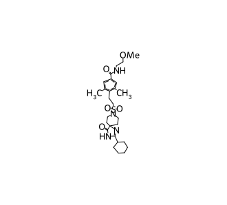 COCCNC(=O)c1cc(C)c(CCS(=O)(=O)N2CCC3(CC2)N=C(C2CCCCC2)NC3=O)c(C)c1